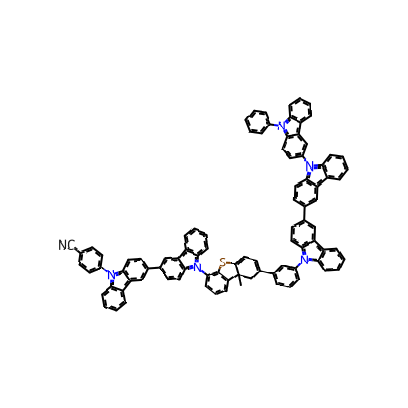 CC12CC(c3cccc(-n4c5ccccc5c5cc(-c6ccc7c(c6)c6ccccc6n7-c6ccc7c(c6)c6ccccc6n7-c6ccccc6)ccc54)c3)=CC=C1Sc1c(-n3c4ccccc4c4cc(-c5ccc6c(c5)c5ccccc5n6-c5ccc(C#N)cc5)ccc43)cccc12